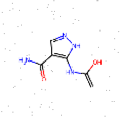 C=C(O)Nc1[nH]ncc1C(N)=O